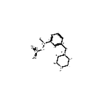 CN(O[SH](=O)=O)c1c[c]cc(CN2CCOCC2)c1